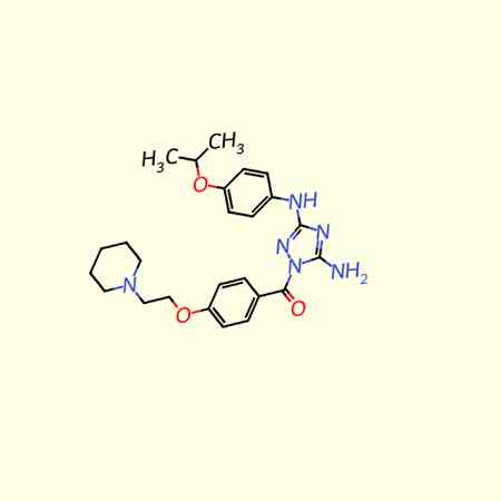 CC(C)Oc1ccc(Nc2nc(N)n(C(=O)c3ccc(OCCN4CCCCC4)cc3)n2)cc1